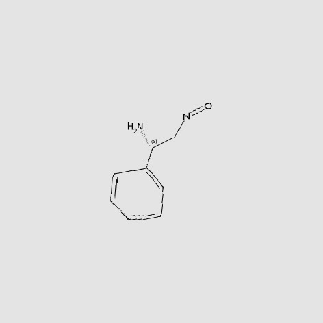 N[C@H](CN=O)c1ccccc1